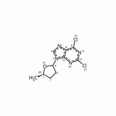 C[C@@H]1CCC(n2cnc3c(Cl)nc(Cl)nc32)O1